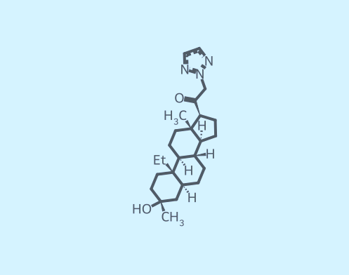 CC[C@]12CC[C@@](C)(O)C[C@@H]1CC[C@H]1[C@@H]3CC[C@H](C(=O)Cn4nccn4)[C@@]3(C)CC[C@@H]12